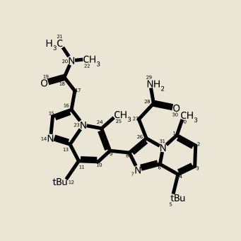 Cc1ccc(C(C)(C)C)c2nc(-c3cc(C(C)(C)C)c4ncc(CC(=O)N(C)C)n4c3C)c(CC(N)=O)n12